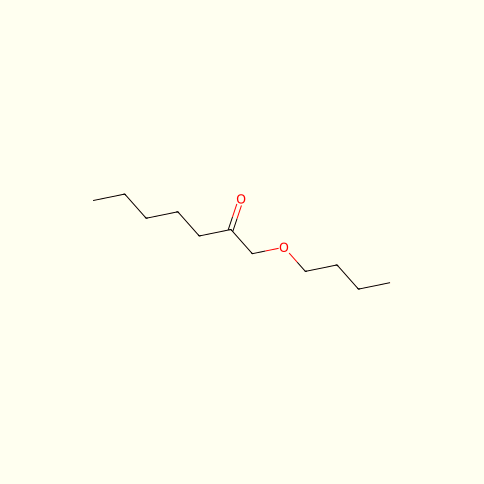 CCCCCC(=O)COCCCC